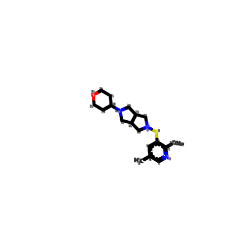 COc1ncc(C)cc1SN1CC2CN(C3CCOCC3)CC2C1